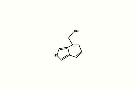 CC(C)(C)Cc1cccc2c[nH]cc12